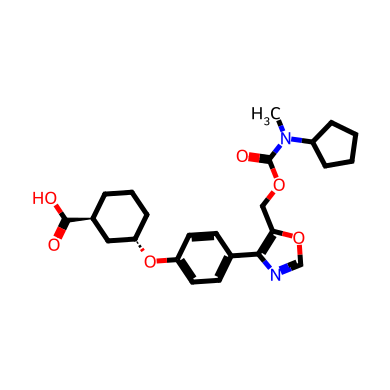 CN(C(=O)OCc1ocnc1-c1ccc(O[C@H]2CCC[C@H](C(=O)O)C2)cc1)C1CCCC1